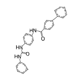 O=C(Nc1ccccc1)Nc1ccc(NC(=O)c2ccc(-c3ccccc3)cc2)cc1